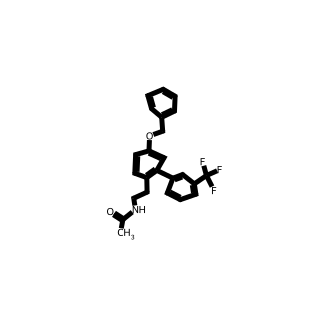 CC(=O)NCCc1ccc(OCc2ccccc2)cc1-c1cccc(C(F)(F)F)c1